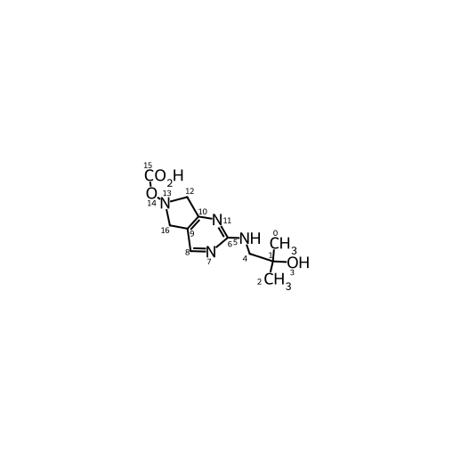 CC(C)(O)CNc1ncc2c(n1)CN(OC(=O)O)C2